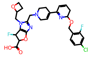 O=C(O)C1Oc2nc(CN3CC=C(C4=NC(OCc5ccc(Cl)cc5F)CC=C4)CC3)n(CC3CCO3)c2C1F